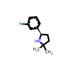 CC1(C)CC[C@H](c2cc[c]c(F)c2)N1